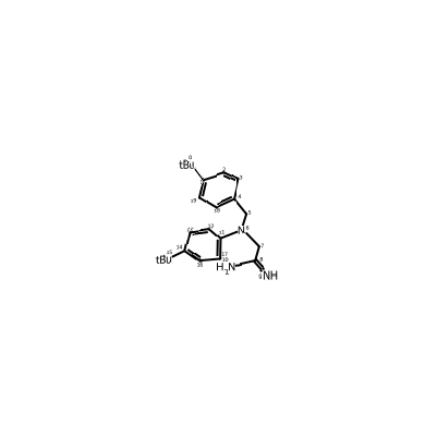 CC(C)(C)c1ccc(CN(CC(=N)N)c2ccc(C(C)(C)C)cc2)cc1